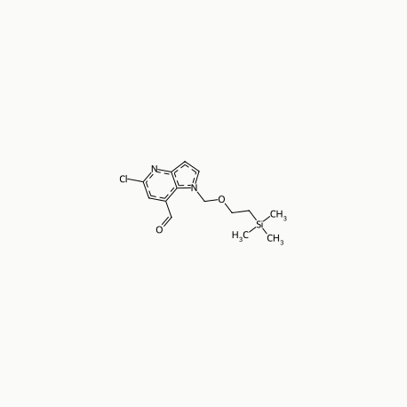 C[Si](C)(C)CCOCn1ccc2nc(Cl)cc(C=O)c21